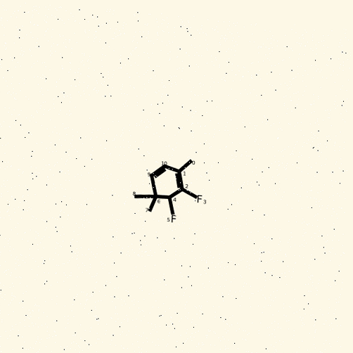 CC1=C(F)C(F)C(C)(C)C=C1